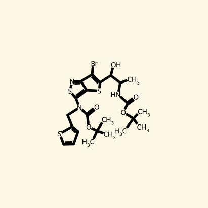 CC(NC(=O)OC(C)(C)C)C(O)c1sc2c(N(Cc3cccs3)C(=O)OC(C)(C)C)snc2c1Br